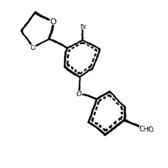 O=Cc1ccc(Oc2ccc(Br)c(C3OCCO3)c2)cc1